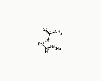 CCNCC.NC(=S)[S-].[Na+]